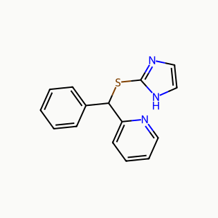 c1ccc(C(Sc2ncc[nH]2)c2ccccn2)cc1